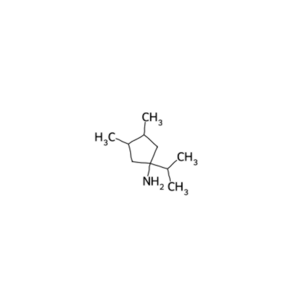 CC1CC(N)(C(C)C)CC1C